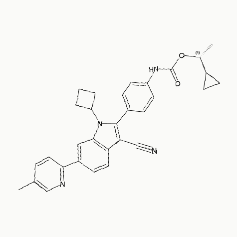 Cc1ccc(-c2ccc3c(C#N)c(-c4ccc(NC(=O)O[C@H](C)C5CC5)cc4)n(C4CCC4)c3c2)nc1